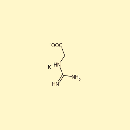 N=C(N)NCC(=O)[O-].[K+]